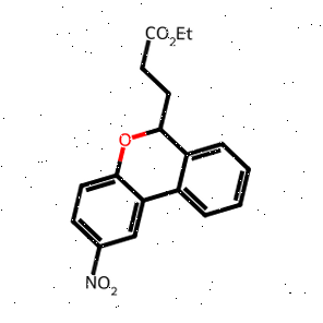 CCOC(=O)CCC1Oc2ccc([N+](=O)[O-])cc2-c2ccccc21